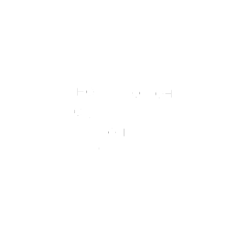 O=C(c1ccccc1O)c1ccc(OCO)cc1O